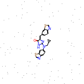 O=C1NC(N(CC2CC2)c2ccc3ncsc3c2)=NC1=Cc1ccc2ncsc2c1